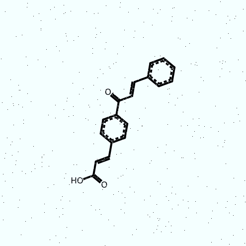 O=C(O)/C=C/c1ccc(C(=O)/C=C/c2ccccc2)cc1